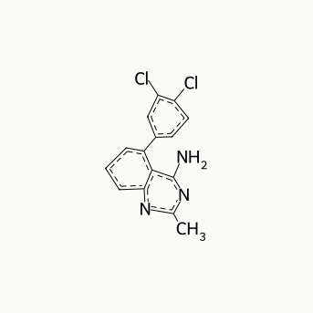 Cc1nc(N)c2c(-c3ccc(Cl)c(Cl)c3)cccc2n1